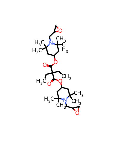 CCC(CC)(C(=O)OC1CC(C)(C)N(CC2CO2)C(C)(C)C1)C(=O)OC1CC(C)(C)N(CC2CO2)C(C)(C)C1